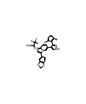 Fc1cccc(F)c1-c1n[nH]cc1-c1ccc2ncc(-c3ccc4c(c3)OCO4)n2c1.O=C(O)C(F)(F)F